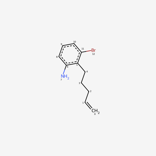 C=CCCCc1c(N)cccc1Br